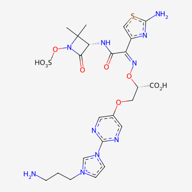 CC1(C)[C@H](NC(=O)/C(=N\O[C@@H](COc2cnc(-n3cc[n+](CCCN)c3)nc2)C(=O)O)c2csc(N)n2)C(=O)N1OS(=O)(=O)O